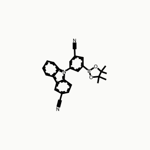 CC1(C)OB(c2cc(C#N)cc(-n3c4ccccc4c4cc(C#N)ccc43)c2)OC1(C)C